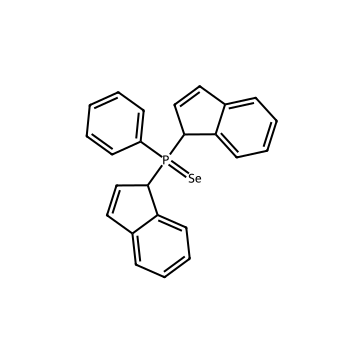 [Se]=P(c1ccccc1)(C1C=Cc2ccccc21)C1C=Cc2ccccc21